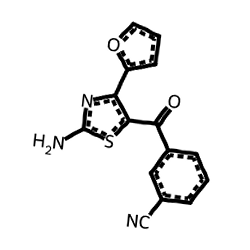 N#Cc1cccc(C(=O)c2sc(N)nc2-c2ccco2)c1